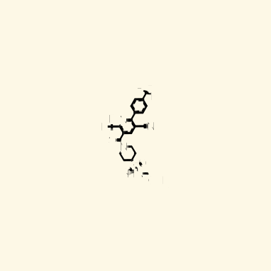 CCNS(=O)(=O)C1CCN(C(=O)c2cc(C#N)c(-c3ccc(C(F)(F)F)cc3)nc2C(F)(F)F)CC1